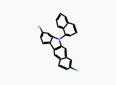 Clc1ccc2cc3c4ccc(Cl)cc4n(-c4cccc5ccccc45)c3cc2c1